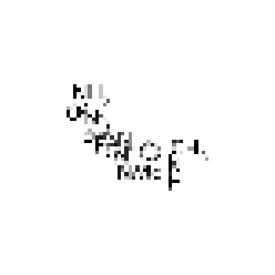 CNc1cc(-c2noc(C3CCN(C(=O)CN)CC3(F)F)n2)ccc1C(C)=N